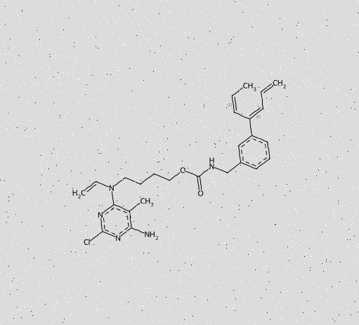 C=C/C=C(\C=C/C)c1cccc(CNC(=O)OCCCCN(C=C)c2nc(Cl)nc(N)c2C)c1